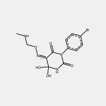 CNCO/N=C1\C(=O)N(c2ccc(Br)cc2)C(=O)NC1(O)O